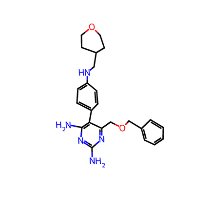 Nc1nc(N)c(-c2ccc(NCC3CCOCC3)cc2)c(COCc2ccccc2)n1